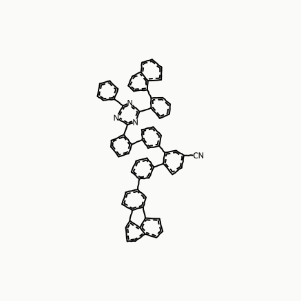 N#Cc1ccc(-c2cccc(-c3ccc4c(c3)-c3cccc5cccc-4c35)c2)c(-c2cccc(-c3ccccc3-c3nc(-c4ccccc4)nc(-c4ccccc4-c4cccc5ccccc45)n3)c2)c1